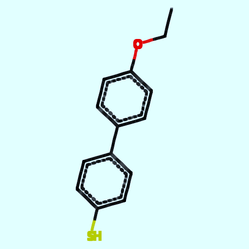 CCOc1ccc(-c2ccc(S)cc2)cc1